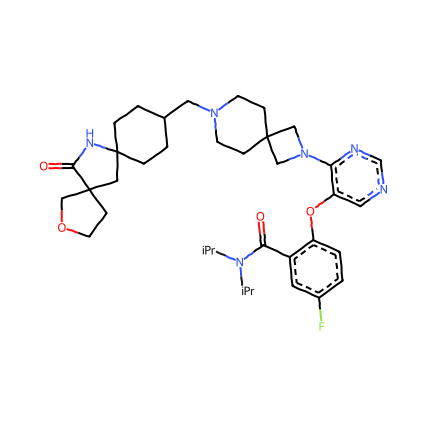 CC(C)N(C(=O)c1cc(F)ccc1Oc1cncnc1N1CC2(CCN(CC3CCC4(CC3)CC3(CCOC3)C(=O)N4)CC2)C1)C(C)C